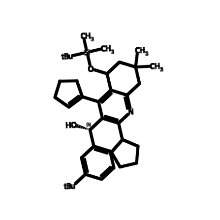 CC1(C)Cc2nc(C3CCCC3)c([C@@H](O)c3cccc(C(C)(C)C)c3)c(C3=CCCC3)c2C(O[Si](C)(C)C(C)(C)C)C1